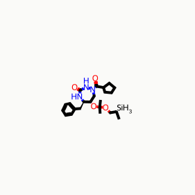 CC([SiH3])COC(C)(C)O[C@@H]1CN(C(=O)C2CCCC2)NC(=O)N[C@@H]1Cc1ccccc1